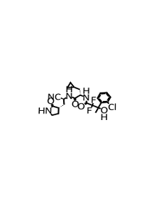 CC(O)(c1ccccc1Cl)C(F)(F)C(=O)N[C@@H](CC1CC1)C(=O)N[C@H](C#N)C[C@@H]1CCNC1=O